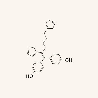 Oc1ccc(C(=C(CCCCC2=CC=CC2)C2=CC=CC2)c2ccc(O)cc2)cc1